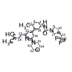 Cc1ccc(NC(=O)N2CC[C@@H](CC(F)(F)F)C2)cc1-c1cc(/C=C/[C@@H](C)O)nc(N2CCOCC2)c1